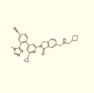 Cn1cnnc1-c1cc(C#N)ccc1-c1cc(C2CC2)nc(N2Cc3ccc(CNCC4CCC4)cc3C2=O)c1